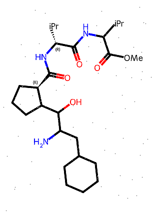 COC(=O)C(NC(=O)[C@H](NC(=O)[C@@H]1CCCC1C(O)C(N)CC1CCCCC1)C(C)C)C(C)C